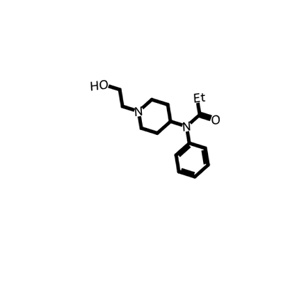 CCC(=O)N(c1ccccc1)C1CCN(CCO)CC1